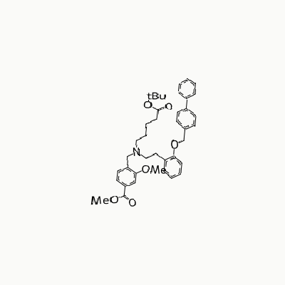 COC(=O)c1ccc(CN(CCCCC(=O)OC(C)(C)C)CCc2ccccc2OCc2ccc(-c3ccccc3)cc2)c(OC)c1